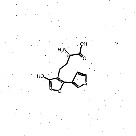 N[C@@H](CCc1c(O)noc1-c1ccsc1)C(=O)O